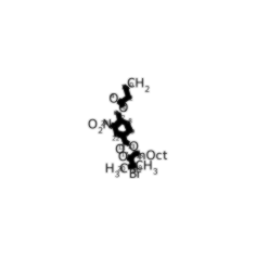 C=CCC(=O)OCc1ccc(C(=O)OC(CCCCCCCC)C(=O)C(C)(C)Br)cc1[N+](=O)[O-]